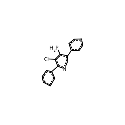 Pc1c(-c2ccccc2)cnc(-c2ccccc2)c1Cl